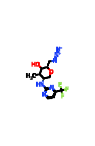 C[C@H]1[C@@H](O)[C@@H](CN=[N+]=[N-])OC[C@@H]1Nc1nccc(C(F)(F)F)n1